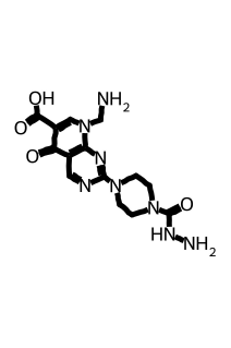 NCn1cc(C(=O)O)c(=O)c2cnc(N3CCN(C(=O)NN)CC3)nc21